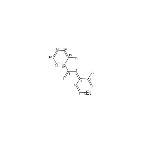 C=C(C)C(/C=C\CC)=C/C(=C)c1ccccc1C